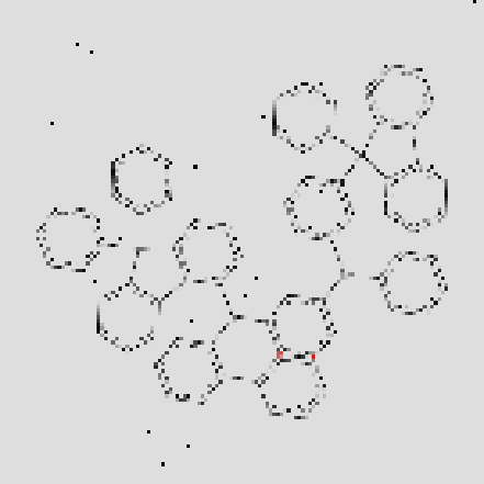 c1ccc(-c2ccccc2N(c2cccc(N(c3ccccc3)c3cccc(C4(c5ccccc5)c5ccccc5-c5ccccc54)c3)c2)c2cccc3c2-c2ccccc2C3(c2ccccc2)c2ccccc2)cc1